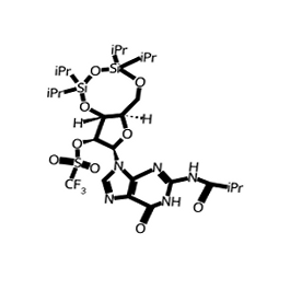 CC(C)C(=O)Nc1nc2c(ncn2[C@@H]2O[C@@H]3CO[Si](C(C)C)(C(C)C)O[Si](C(C)C)(C(C)C)O[C@H]3[C@@H]2OS(=O)(=O)C(F)(F)F)c(=O)[nH]1